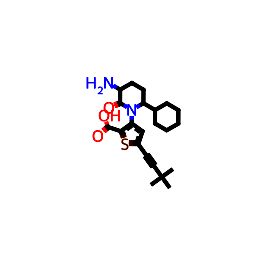 CC(C)(C)C#Cc1cc(N2C(=O)C(N)CCC2C2CCCCC2)c(C(=O)O)s1